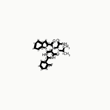 CC(C)C[C@@H](C(N)=O)N(C(=O)c1cc2ccccc2s1)C1=CNC(c2ccccc2F)NC1=O